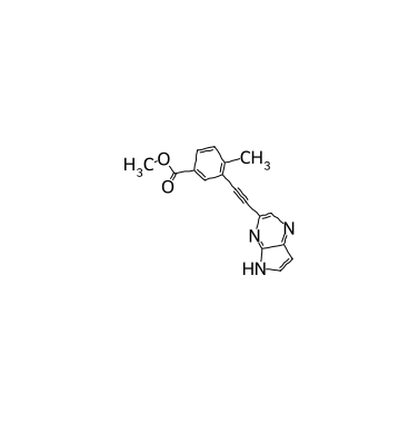 COC(=O)c1ccc(C)c(C#Cc2cnc3cc[nH]c3n2)c1